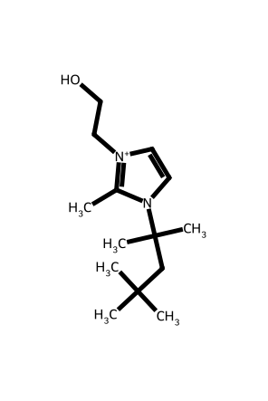 Cc1n(C(C)(C)CC(C)(C)C)cc[n+]1CCO